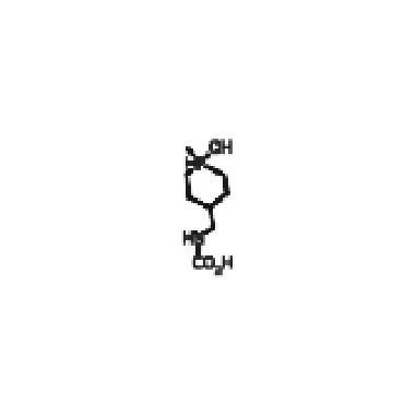 C[PH]1(O)CCC(CNC(=O)O)CC1